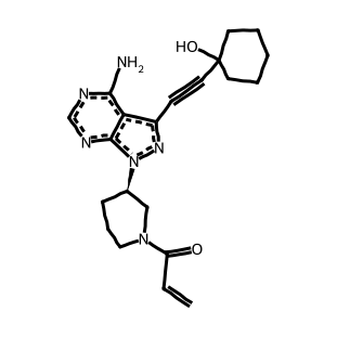 C=CC(=O)N1CCC[C@@H](n2nc(C#CC3(O)CCCCC3)c3c(N)ncnc32)C1